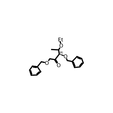 CCOC(C)[C@@H](OCc1ccccc1)C(=O)COCc1ccccc1